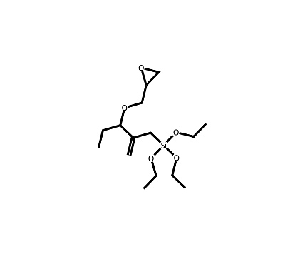 C=C(C[Si](OCC)(OCC)OCC)C(CC)OCC1CO1